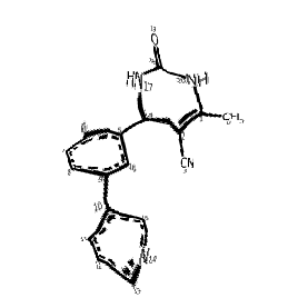 CC1=C(C#N)C(c2cccc(-c3cccnc3)c2)NC(=O)N1